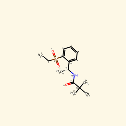 CCS(=O)(=O)c1ccccc1[C@@H](C)NC(=O)C(C)(C)C